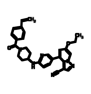 C=Cc1ccc(C(=O)N2CCC(Nc3ccc(-c4cc(OCC)cn5ncc(C#N)c45)cn3)CC2)cc1